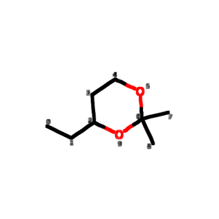 CCC1CCOC(C)(C)O1